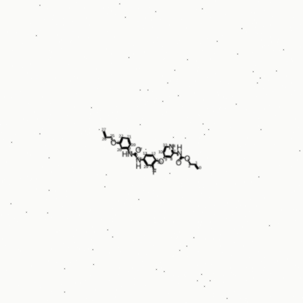 C=CCOC(=O)Nc1cc(Oc2ccc(NC(=O)Nc3cccc(OCC=C)c3)cc2F)ccn1